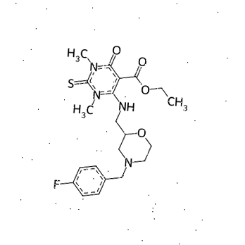 CCOC(=O)c1c(NCC2CN(Cc3ccc(F)cc3)CCO2)n(C)c(=S)n(C)c1=O